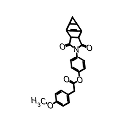 COc1ccc(CC(=O)Oc2ccc(N3C(=O)C4C5C=CC(C6CC56)C4C3=O)cc2)cc1